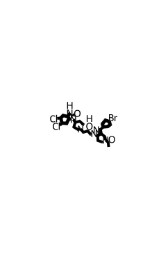 CC(=O)N1CCc2c(c(-c3ccc(Br)cc3)nn2CC(O)CN2CCC(n3c(=O)[nH]c4cc(Cl)c(Cl)cc43)CC2)C1